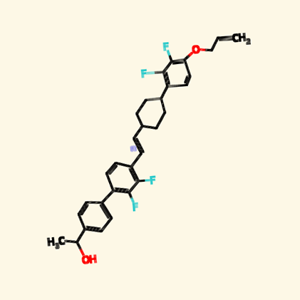 C=CCOc1ccc(C2CCC(/C=C/c3ccc(-c4ccc(C(C)O)cc4)c(F)c3F)CC2)c(F)c1F